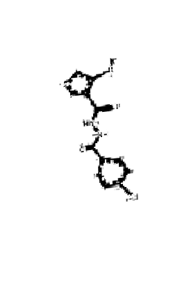 COc1cscc1C(=O)NNC(=O)c1ccc(Cl)cc1